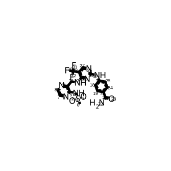 CS(=O)(=O)Nc1nccnc1CNc1nc(Nc2ccc(C(N)=O)cc2)ncc1C(F)(F)F